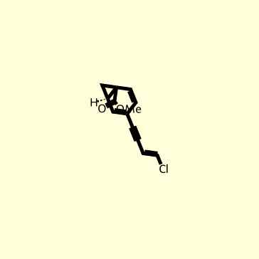 COC(=O)C12C=CC(C#C/C=C/Cl)=C[C@H]1C2